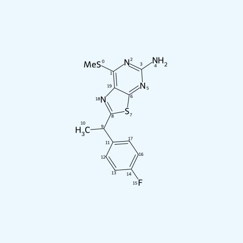 CSc1nc(N)nc2sc(C(C)c3ccc(F)cc3)nc12